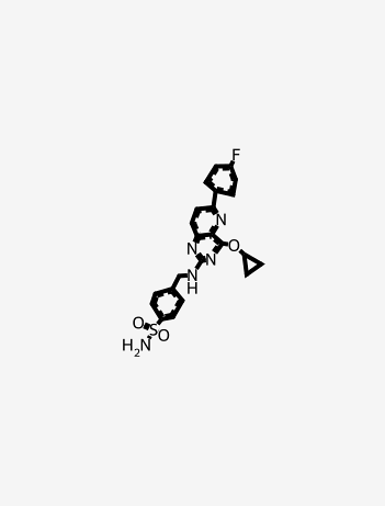 NS(=O)(=O)c1ccc(CNc2nc(OC3CC3)c3nc(-c4ccc(F)cc4)ccc3n2)cc1